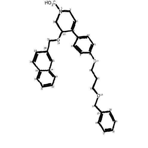 O=C(O)N1CC=C(c2ccc(OCCCOCc3ccccc3)cc2)C(OCc2ccc3ccccc3c2)C1